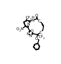 O=C1CC=CCCC(OCc2ccccc2)(C(F)(F)F)c2nnc(o2)-c2nc(c(C(F)(F)F)cc2[N+](=O)[O-])N1